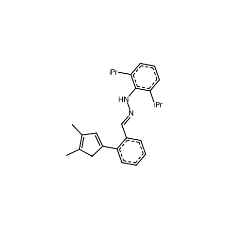 CC1=C(C)CC(c2ccccc2C=NNc2c(C(C)C)cccc2C(C)C)=C1